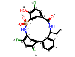 CC[C@@H]1NC(=O)c2cc(Cl)c(O)c(c2)S(=O)(=O)Nc2cc(c(F)cc2F)-c2ccccc21